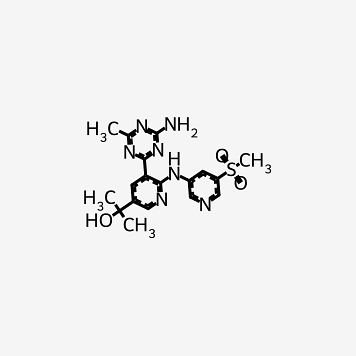 Cc1nc(N)nc(-c2cc(C(C)(C)O)cnc2Nc2cncc(S(C)(=O)=O)c2)n1